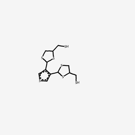 SCC1CSC(c2cscc2C2SCC(CS)S2)S1